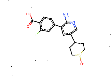 Nc1ncc(C2CC[S+]([O-])CC2)cc1-c1ccc(C(=O)O)c(F)c1